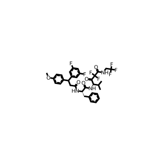 COc1ccc(C(CC(=O)N[C@@H](Cc2ccccc2)C(=O)N[C@H](C(=O)C(F)(F)C(=O)NCC(F)(F)F)C(C)C)c2cc(F)cc(F)c2)cc1